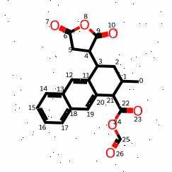 CC1CC(C2CC(=O)OC2=O)c2cc3ccccc3cc2C1C(=O)OC=O